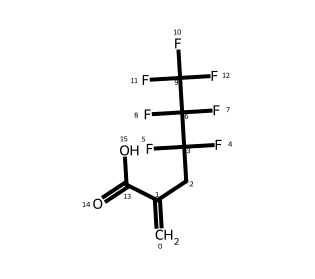 C=C(CC(F)(F)C(F)(F)C(F)(F)F)C(=O)O